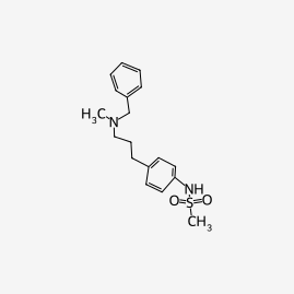 CN(CCCc1ccc(NS(C)(=O)=O)cc1)Cc1ccccc1